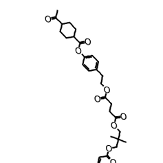 C=CC(=O)OCC(C)(C)COC(=O)CCC(=O)OCCc1ccc(OC(=O)C2CCC(C(C)=O)CC2)cc1